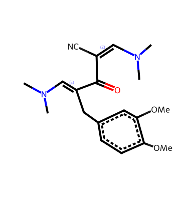 COc1ccc(C/C(=C\N(C)C)C(=O)/C(C#N)=C\N(C)C)cc1OC